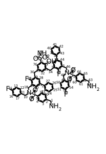 NCc1ccc(S(=O)(=O)N(Cc2ccc(F)cc2)Cc2cc(-c3ccccc3)cc(Cc3cc(Cc4cc(-c5ccccc5)cc(CN(Cc5ccc(F)cc5)S(=O)(=O)c5ccc(CN)cc5)c4F)c(O)c(S(N)(=O)=O)c3)c2F)cc1